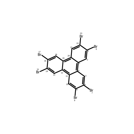 Brc1cc2c3cc(Br)c(Br)cc3c3cc(Br)c(Br)cc3c2cc1Br